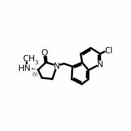 CN[C@H]1CCN(Cc2cccc3nc(Cl)ccc23)C1=O